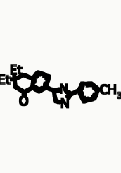 CCC1(CC)CC(=O)c2cc(C3=NC(c4ccc(C)cc4)=NC3)ccc2C1